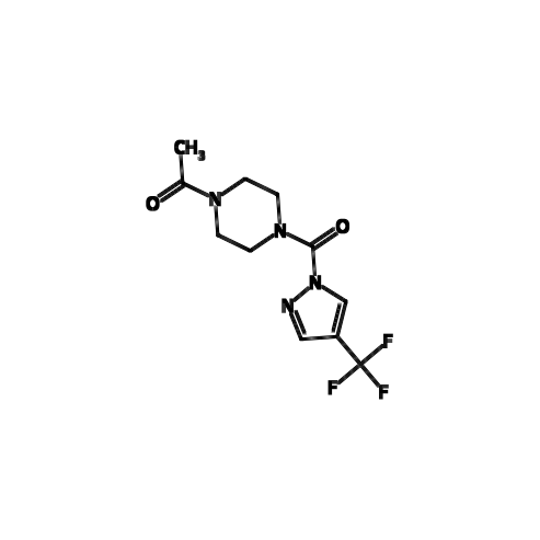 CC(=O)N1CCN(C(=O)n2cc(C(F)(F)F)cn2)CC1